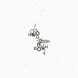 CCC[C@@H]1Cc2ccc(OCCOC3(CCC)[C@H]4Oc5c(OC)ccc6c5C45CCN(CC4CC4)[C@H](C6)C5C[C@@H]3[C@](C)(O)C(C)(C)C)c3c2[C@@]2(CC)[C@H](O3)[C@H]3CCC12CC3C(C)(C)C